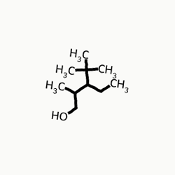 CCC(C(C)CO)C(C)(C)C